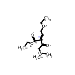 CCOC/C=C(/C(=O)CN(C)C)C(=O)OCC